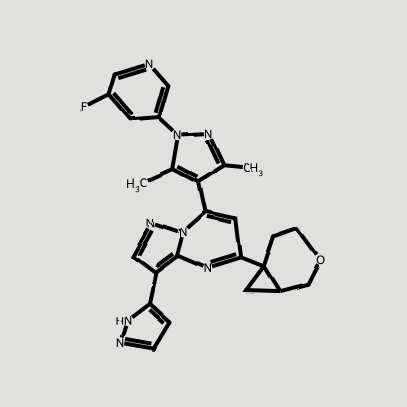 Cc1nn(-c2cncc(F)c2)c(C)c1-c1cc(C23CCOCC2C3)nc2c(-c3ccn[nH]3)cnn12